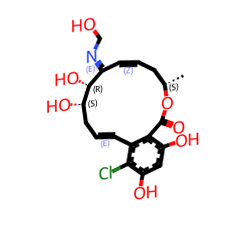 C[C@H]1C/C=C\C(=N/CO)[C@@H](O)[C@@H](O)C/C=C/c2c(Cl)c(O)cc(O)c2C(=O)O1